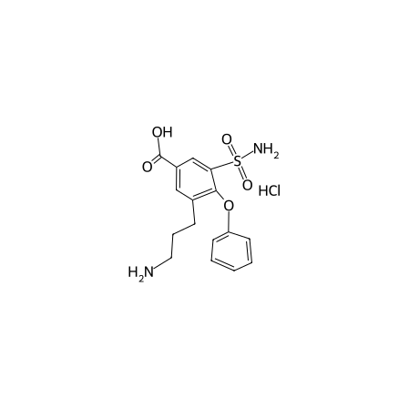 Cl.NCCCc1cc(C(=O)O)cc(S(N)(=O)=O)c1Oc1ccccc1